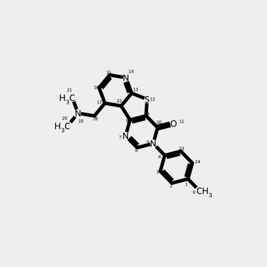 Cc1ccc(-n2cnc3c(c2=O)SC2=NC=CC(CN(C)C)C23)cc1